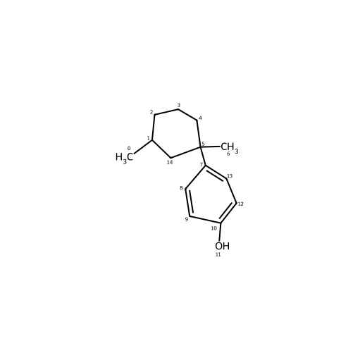 CC1CCCC(C)(c2ccc(O)cc2)C1